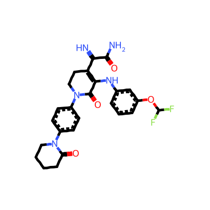 N=C(C(N)=O)C1=C(Nc2cccc(OC(F)F)c2)C(=O)N(c2ccc(N3CCCCC3=O)cc2)CC1